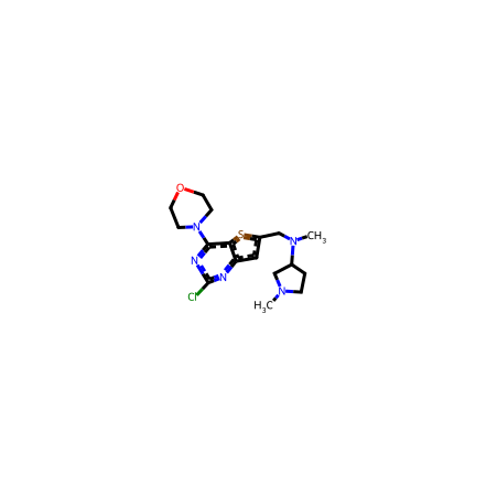 CN1CCC(N(C)Cc2cc3nc(Cl)nc(N4CCOCC4)c3s2)C1